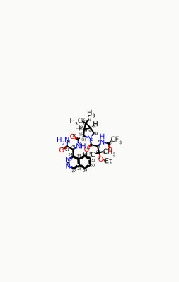 CCOC(C)(C)C(NC(=O)C(F)(F)F)C(=O)N1C[C@H]2[C@@H]([C@H]1C(=O)NC(C(N)=O)c1nncc3ccccc13)C2(C)C